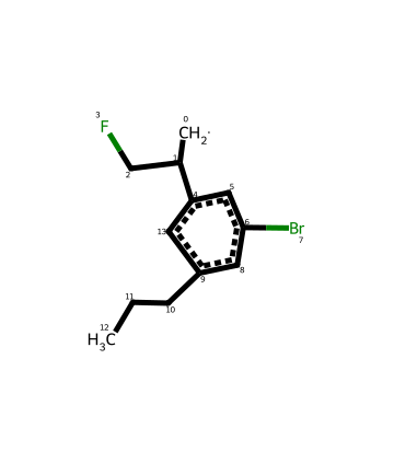 [CH2]C(CF)c1cc(Br)cc(CCC)c1